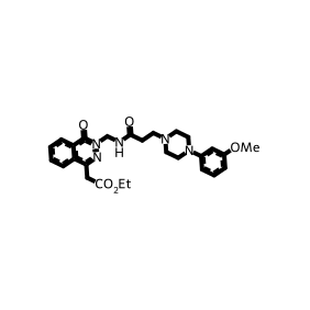 CCOC(=O)Cc1nn(CNC(=O)CCN2CCN(c3cccc(OC)c3)CC2)c(=O)c2ccccc12